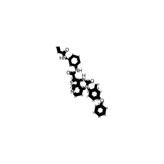 C=CC(=O)N[C@H]1CCCC(NC(=O)c2sc3nccc4c3c2NC(=O)N4c2ccc(Oc3ccccc3)cc2C)C1